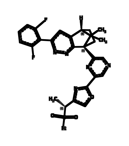 CCS(=O)(=O)[C@H](C)c1coc(-c2cncc([C@@]34CC[C@@H](c5cc(-c6c(F)cccc6F)nnc53)C4(C)C)n2)n1